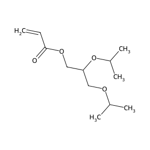 C=CC(=O)OCC(COC(C)C)OC(C)C